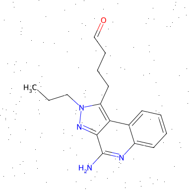 CCCn1nc2c(N)nc3ccccc3c2c1CCCC=O